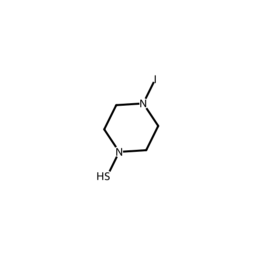 SN1CCN(I)CC1